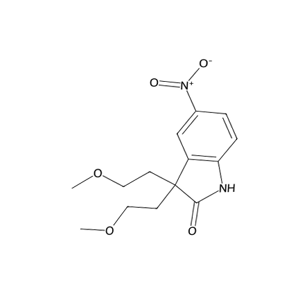 COCCC1(CCOC)C(=O)Nc2ccc([N+](=O)[O-])cc21